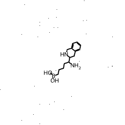 NC(CCCCB(O)O)C1Cc2ccccc2CN1